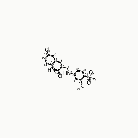 COc1cc(NCc2cc3cc(Cl)ccc3[nH]c2=O)ccc1S(C)(=O)=O